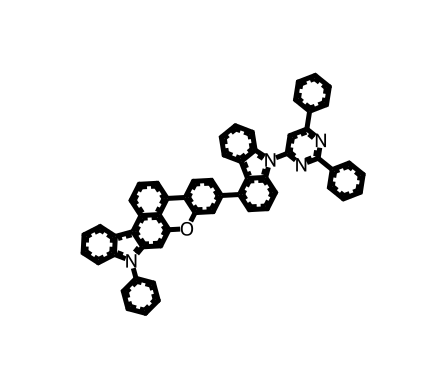 c1ccc(-c2cc(-n3c4ccccc4c4c(-c5ccc6c(c5)Oc5cc7c(c8cccc-6c58)c5ccccc5n7-c5ccccc5)cccc43)nc(-c3ccccc3)n2)cc1